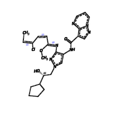 C\C=C(Cl)/C=C\C(=N\c1nn(C[C@@H](O)C2CCCC2)cc1NC(=O)c1cnn2cccnc12)OC